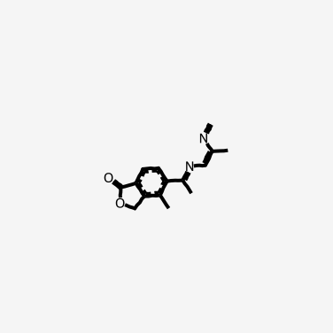 C=N/C(C)=C\N=C(/C)c1ccc2c(c1C)COC2=O